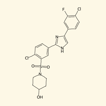 O=S(=O)(c1cc(-c2nc(-c3ccc(Cl)c(F)c3)c[nH]2)ccc1Cl)N1CCC(O)CC1